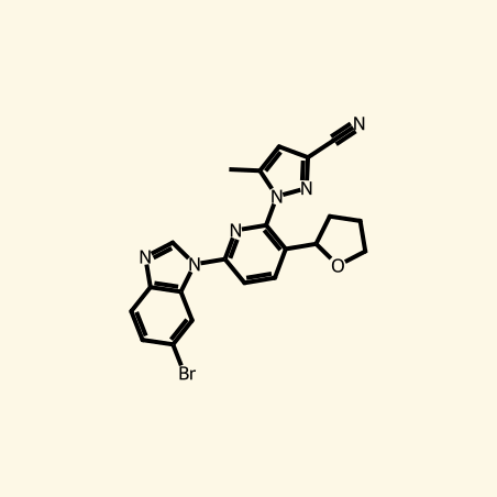 Cc1cc(C#N)nn1-c1nc(-n2cnc3ccc(Br)cc32)ccc1C1CCCO1